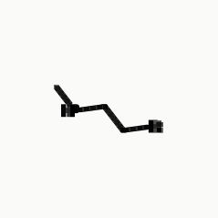 [CH2]CCCPC